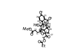 CCC(=O)OCC(=O)[C@@]1(OC(=O)CCC(=O)OC)[C@@H](C)C[C@H]2[C@@H]3CC(=O)C4=CC(=O)C=C[C@]4(C)[C@@]3(F)[C@@H](O)C[C@@]21C